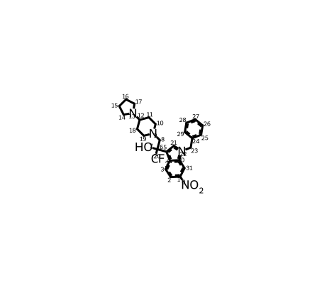 O=[N+]([O-])c1ccc2c(C(O)(CN3CCC(N4CCCC4)CC3)C(F)(F)F)cn(Cc3ccccc3)c2c1